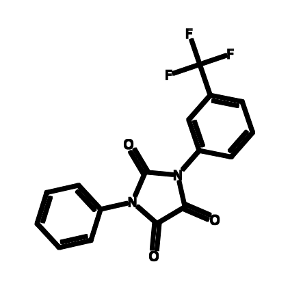 O=C1C(=O)N(c2cccc(C(F)(F)F)c2)C(=O)N1c1ccccc1